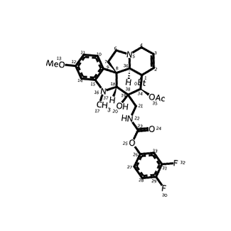 CC[C@]12C=CCN3CC[C@@]4(c5ccc(OC)cc5N(C)[C@H]4C(O)(CNC(=O)Oc4ccc(F)c(F)c4)[C@@H]1OC(C)=O)[C@@H]32